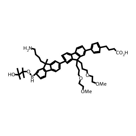 COCCOCCCC1(CCCOCCOC)c2cc(-c3ccc(CCCC(=O)O)cc3)ccc2-c2ccc(-c3ccc4c(c3)C(C)(CCCCN)c3cc(BOC(C)(C)C(C)(C)O)ccc3-4)cc21